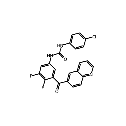 O=C(Nc1ccc(Cl)cc1)Nc1cc(F)c(F)c(C(=O)c2ccc3ncccc3c2)c1